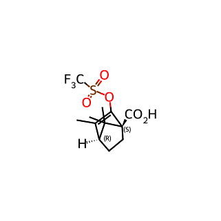 CC1=C(OS(=O)(=O)C(F)(F)F)[C@]2(C(=O)O)CC[C@@H]1C2(C)C